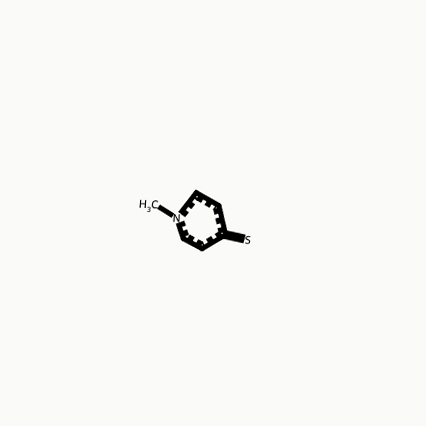 Cn1ccc(=S)cc1